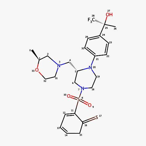 C[C@H]1CN(C[C@H]2CN(S(=O)(=O)C3=CC=CCC3=S)CCN2c2ccc([C@](C)(O)C(F)(F)F)cc2)CCO1